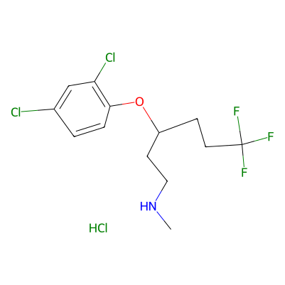 CNCCC(CCC(F)(F)F)Oc1ccc(Cl)cc1Cl.Cl